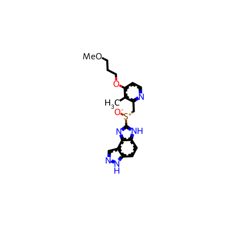 COCCCOc1ccnc(C[S+]([O-])c2nc3c(ccc4[nH]ncc43)[nH]2)c1C